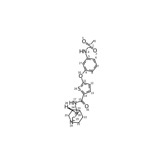 CS(=O)(=O)Nc1cccc(Oc2ccc(C(=O)N[C@H]3CN4CCC3CC4)s2)c1